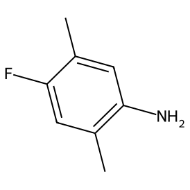 Cc1cc(F)c(C)cc1N